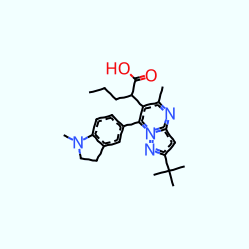 CCCC(C(=O)O)c1c(C)nc2cc(C(C)(C)C)nn2c1-c1ccc2c(c1)CCN2C